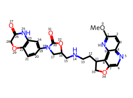 COc1ccc2ncc3c(c2n1)C(CCNCC1CN(c2ccc4c(c2)NC(=O)CO4)C(=O)O1)CO3